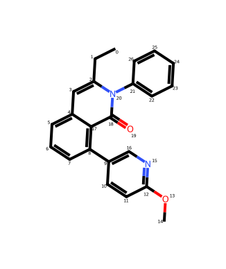 CCc1cc2cccc(-c3ccc(OC)nc3)c2c(=O)n1-c1ccccc1